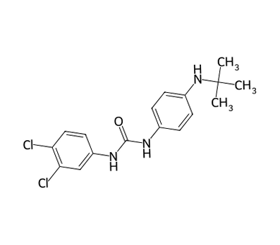 CC(C)(C)Nc1ccc(NC(=O)Nc2ccc(Cl)c(Cl)c2)cc1